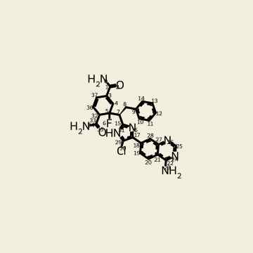 NC(=O)C1=CC(F)([C@@H](Cc2ccccc2)c2nc(-c3ccc4c(N)ncnc4c3)c(Cl)[nH]2)C(C(N)=O)C=C1